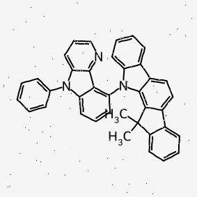 CC1(C)c2ccccc2-c2ccc3c4ccccc4n(-c4cccc5c4c4ncccc4n5-c4ccccc4)c3c21